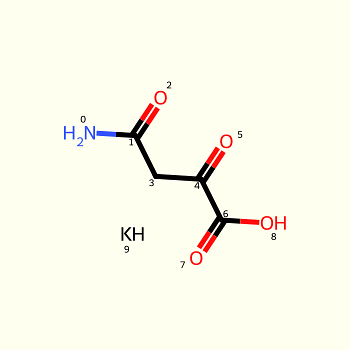 NC(=O)CC(=O)C(=O)O.[KH]